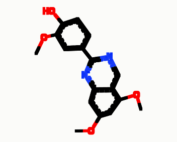 COc1cc(OC)c2cnc(-c3ccc(O)c(OC)c3)nc2c1